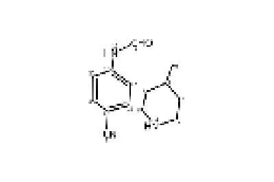 CC1CCNCC1.N#Cc1ccc(NC=O)cc1